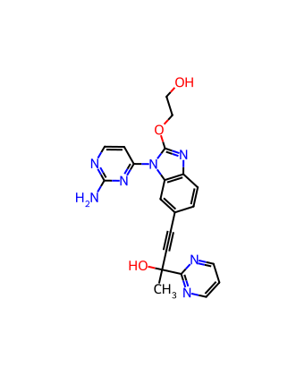 CC(O)(C#Cc1ccc2nc(OCCO)n(-c3ccnc(N)n3)c2c1)c1ncccn1